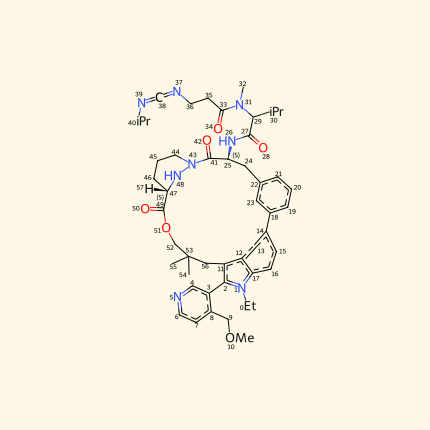 CCn1c(-c2cnccc2COC)c2c3cc(ccc31)-c1cccc(c1)C[C@H](NC(=O)C(C(C)C)N(C)C(=O)CCN=C=NC(C)C)C(=O)N1CCC[C@H](N1)C(=O)OCC(C)(C)C2